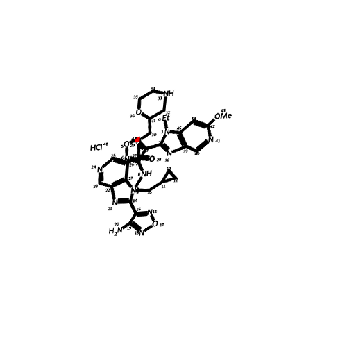 CCn1c(-c2nonc2N[N+]2(CC3CC3)C(c3nonc3N)=Nc3cncc(C(=O)NCC4CNCCO4)c32)nc2cnc(OC)cc21.Cl